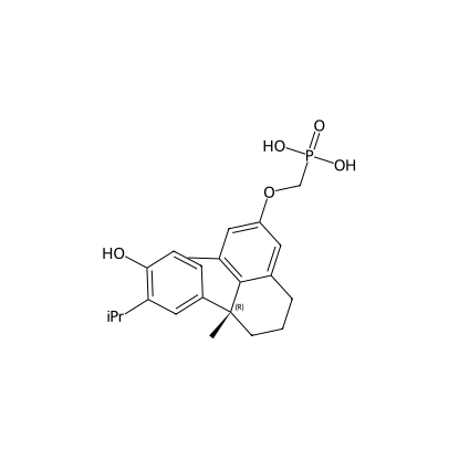 Cc1cc(OCP(=O)(O)O)cc2c1[C@@](C)(c1ccc(O)c(C(C)C)c1)CCC2